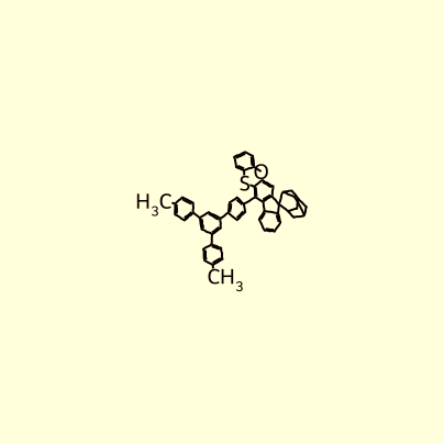 Cc1ccc(-c2cc(-c3ccc(C)cc3)cc(-c3ccc(-c4c5c(cc6c4-c4ccccc4C64C6CC7CC(C6)CC4C7)Oc4ccccc4S5)cc3)c2)cc1